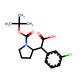 CC(C)(C)OC(=O)N1CCCC1C(C(=O)O)c1cccc(Cl)c1